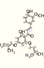 COc1cc(/C=C/C(=O)c2c(O)cc(OC=C(C)C)cc2OCC=C(C)C)ccc1O